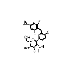 OC[C@H]1O[C@@H](c2ccc(Cl)c(Cc3c(F)cc(C4CC4)cc3F)c2)[C@H](O)C(O)[C@@H]1O